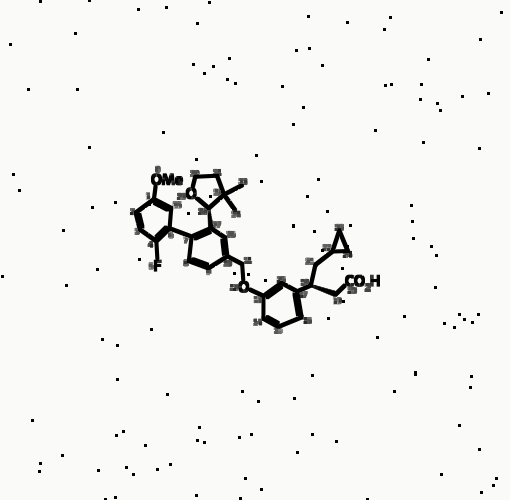 COc1ccc(F)c(-c2ccc(COc3cccc([C@H](CC(=O)O)CC4CC4)c3)cc2[C@H]2OCCC2(C)C)c1